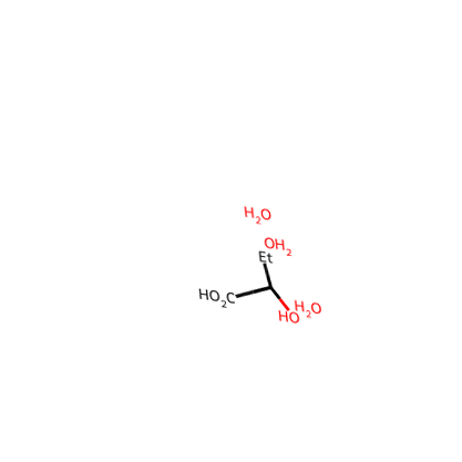 CCC(O)C(=O)O.O.O.O